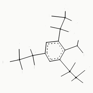 CCC([O])c1c(C(F)(F)C(F)(F)C(F)(F)F)cc(C(F)(F)C(F)(F)C(F)(F)F)cc1C(F)(F)C(F)(F)C(F)(F)F